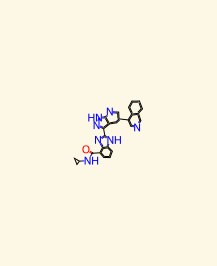 O=C(NC1CC1)c1cccc2[nH]c(-c3n[nH]c4ncc(-c5cncc6ccccc56)cc34)nc12